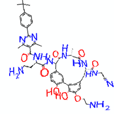 Cc1nc(-c2ccc(C(C)(C)C)cc2)nc(C)c1C(=O)N[C@H](CCN)C(=O)N(C)C1C(=O)N[C@H](C)C(=O)N[C@H](C(=O)NCC#N)Cc2cc(OCCN)c(O)c(c2)-c2cc1ccc2O